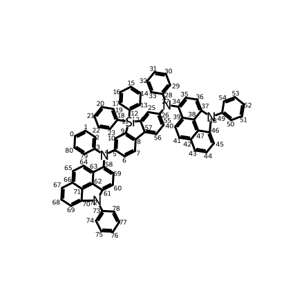 c1ccc(N(c2ccc3c(c2)[Si](c2ccccc2)(c2ccccc2)c2cc(N(c4ccccc4)c4ccc5c6c4ccc4cccc(c46)n5-c4ccccc4)ccc2-3)c2ccc3c4c2ccc2cccc(c24)n3-c2ccccc2)cc1